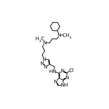 CN(CCCN(C)C1CCCCC1)CCCn1cc(CNc2nc(Cl)nc3[nH]cnc23)nn1